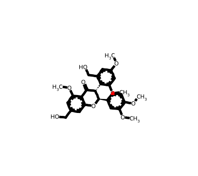 COc1cc(CO)c([C@H]2C(=O)c3c(OC)cc(CO)cc3O[C@@H]2c2ccc(OC)c(OC)c2)c(OC)c1